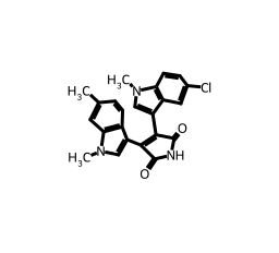 Cc1ccc2c(C3=C(c4cn(C)c5ccc(Cl)cc45)C(=O)NC3=O)cn(C)c2c1